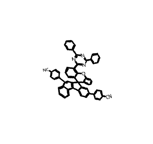 N#Cc1ccc(-c2ccc3c(c2)C2(c4ccccc4Oc4c(-c5nc(-c6ccccc6)nc(-c6ccccc6)n5)cccc42)c2cc(-c4ccc(C#N)cc4)c4ccccc4c2-3)cc1